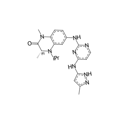 Cc1cc(Nc2ccnc(Nc3ccc4c(c3)N(C(C)C)[C@H](C)C(=O)N4C)n2)[nH]n1